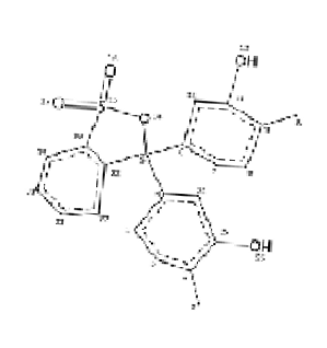 Cc1ccc(C2(c3ccc(C)c(O)c3)OS(=O)(=O)c3ccccc32)cc1O